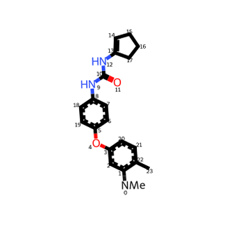 CNc1cc(Oc2ccc(NC(=O)NC3=CCCC3)cc2)ccc1C